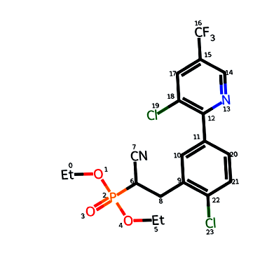 CCOP(=O)(OCC)C(C#N)Cc1cc(-c2ncc(C(F)(F)F)cc2Cl)ccc1Cl